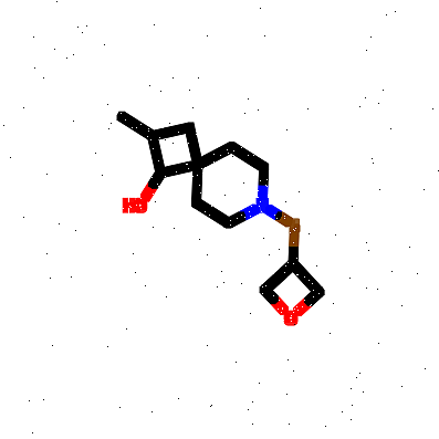 CC1CC2(CCN(SC3COC3)CC2)C1O